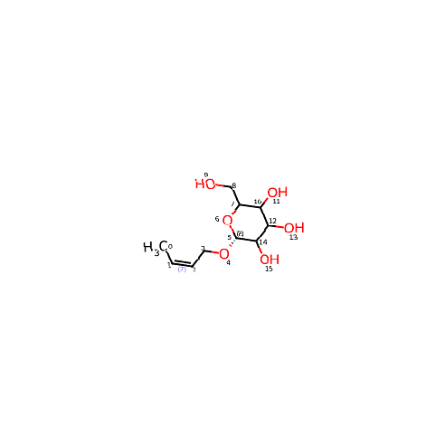 C/C=C\CO[C@@H]1OC(CO)C(O)C(O)C1O